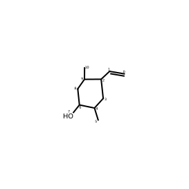 C=CC1CC(C)C(O)CC1C